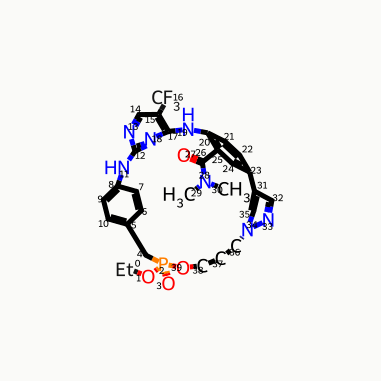 CCOP1(=O)Cc2ccc(cc2)Nc2ncc(C(F)(F)F)c(n2)Nc2ccc(cc2C(=O)N(C)C)-c2cnn(c2)CCCO1